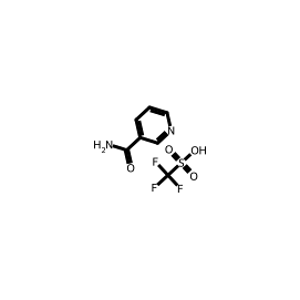 NC(=O)c1cccnc1.O=S(=O)(O)C(F)(F)F